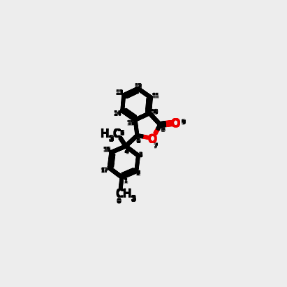 CC1=CCC(C)(C2OC(=O)c3ccccc32)C=C1